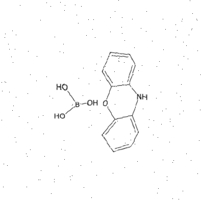 OB(O)O.c1ccc2c(c1)Nc1ccccc1O2